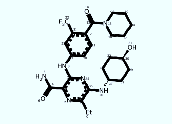 CCc1nc(C(N)=O)c(Nc2ccc(C(=O)N3CCCCC3)c(C(F)(F)F)c2)nc1N[C@H]1CC[C@H](O)CC1